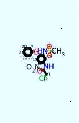 CS(=O)(=O)Nc1cc(NC(=O)CCl)c([N+](=O)[O-])cc1Oc1ccccc1